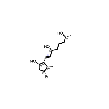 C[C@@H]1[C@@H](/C=C/[C@@H](O)CCC[C@@H](C)O)[C@H](O)C[C@H]1Br